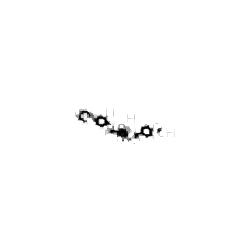 COc1ccc(C(=O)Nc2nnc(C(=O)Nc3ccc(N4CCOCC4)cc3)o2)cc1